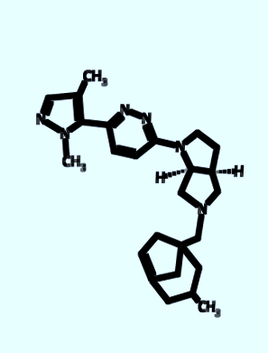 Cc1cnn(C)c1-c1ccc(N2CC[C@H]3CN(CC45CC=C(CC(C)C4)C5)C[C@H]32)nn1